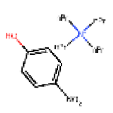 CCC[N+](CCC)(CCC)CCC.O=[N+]([O-])c1ccc(O)cc1